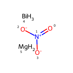 O=[N+]([O-])[O-].[BiH3].[MgH2]